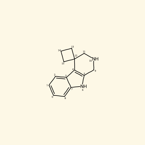 c1ccc2c3c([nH]c2c1)CNCC31CCC1